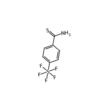 NC(=S)c1ccc(S(F)(F)(F)(F)F)cc1